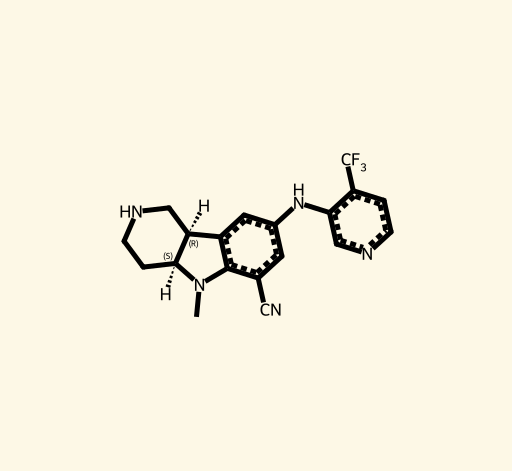 CN1c2c(C#N)cc(Nc3cnccc3C(F)(F)F)cc2[C@@H]2CNCC[C@@H]21